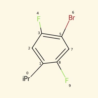 CC(C)c1cc(F)c(Br)cc1F